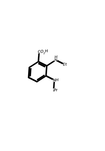 CCNc1c(NC(C)C)cccc1C(=O)O